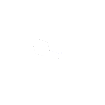 O[CH]NC1CCCCC1